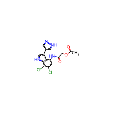 CC(=O)OCC(=O)Nc1cc(Cl)c(Cl)c2[nH]cc(-c3cn[nH]c3)c12